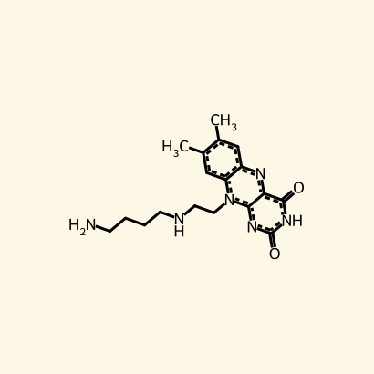 Cc1cc2nc3c(=O)[nH]c(=O)nc-3n(CCNCCCCN)c2cc1C